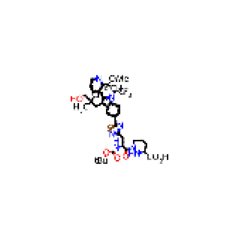 CO[C@@H](C)c1ncccc1-c1c(CC(C)(C)CO)c2cc(-c3nc(CC(NC(=O)OC(C)(C)C)C(=O)N4CCCC(C(=O)O)N4)ns3)ccc2n1CC(F)(F)F